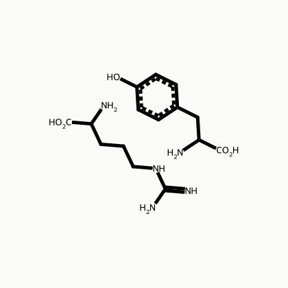 N=C(N)NCCCC(N)C(=O)O.NC(Cc1ccc(O)cc1)C(=O)O